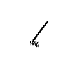 CCCCCCCCCCCCCCCCC[C](=O)[Pb][NH]C#N